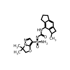 CC1Cc2cc3c(c(NC(=O)N=S(N)(=O)c4cnn5c4OCC5(C)C)c21)CCC3